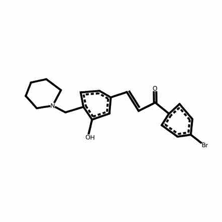 O=C(/C=C/c1ccc(CN2CCCCC2)c(O)c1)c1ccc(Br)cc1